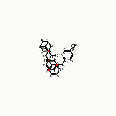 O=C(Nc1cccnc1)C1CC2CC(C1)C2=CCc1cccc(Cc2ccc(C(F)(F)F)cn2)c1